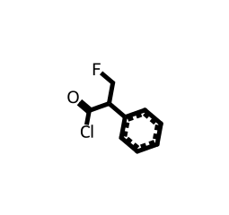 O=C(Cl)C(CF)c1ccccc1